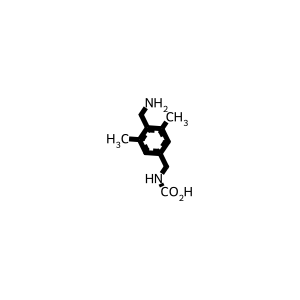 Cc1cc(CNC(=O)O)cc(C)c1CN